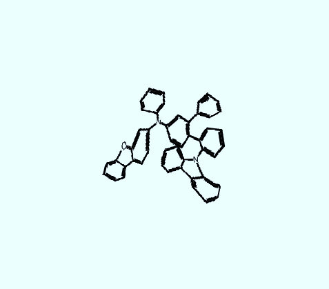 c1ccc(-c2cc(N(c3ccccc3)c3ccc4c(c3)oc3ccccc34)ccc2-c2ccccc2-n2c3ccccc3c3ccccc32)cc1